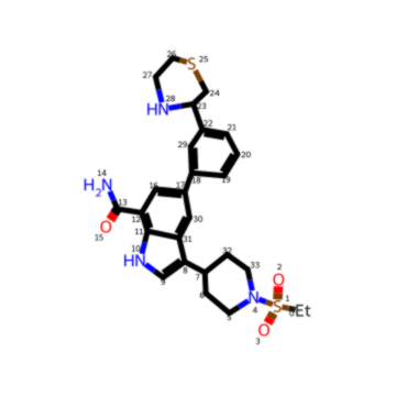 CCS(=O)(=O)N1CCC(c2c[nH]c3c(C(N)=O)cc(-c4cccc(C5CSCCN5)c4)cc23)CC1